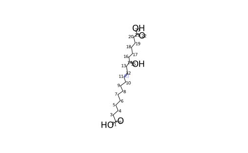 O=C(O)CCCCCCCC/C=C/CC(O)CCCCCC(=O)O